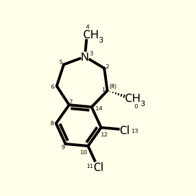 C[C@H]1CN(C)CCc2ccc(Cl)c(Cl)c21